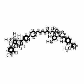 Cc1ncsc1-c1ccc([C@H](CO)NC(=O)[C@@H]2C[C@@H](O)CN2C(=O)[C@@H](NC(=O)CCCCN2CCN(c3ccc(C(=O)N[C@H]4C(C)(C)[C@H](Oc5ccc(C#N)c(Cl)c5)C4(C)C)cn3)CC2)C(C)(C)C)cc1